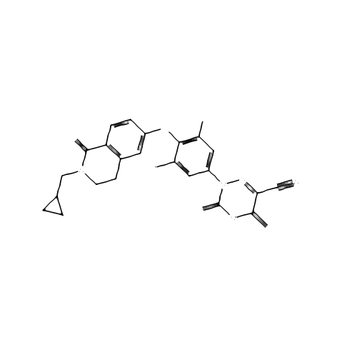 C=C1NC(=O)N(c2cc(Cl)c(Oc3ccc4c(c3)CCN(CC3CC3)C4=O)c(Cl)c2)N=C1C#N